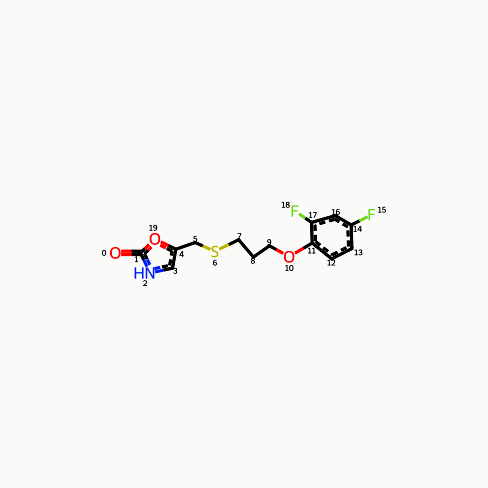 O=c1[nH]cc(CSCCCOc2ccc(F)cc2F)o1